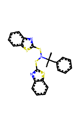 CC(C)(c1ccccc1)N(Sc1nc2ccccc2s1)Sc1nc2ccccc2s1